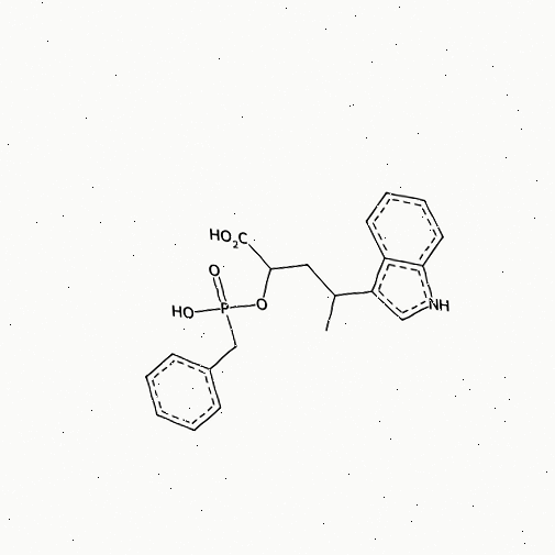 CC(CC(OP(=O)(O)Cc1ccccc1)C(=O)O)c1c[nH]c2ccccc12